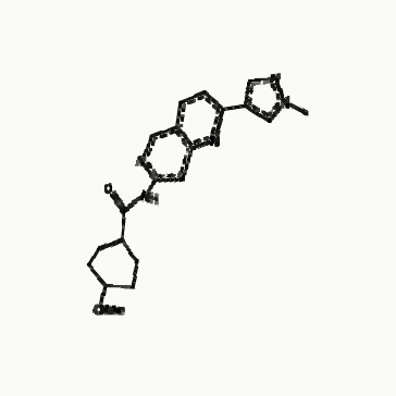 COC1CCC(C(=O)Nc2cc3nc(-c4cnn(C)c4)ccc3cn2)CC1